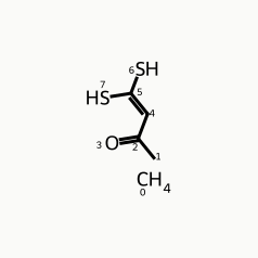 C.CC(=O)C=C(S)S